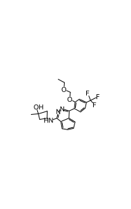 CCOCOc1cc(C(F)(F)F)ccc1-c1nnc(NC2CC(C)(O)C2)c2ccccc12